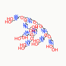 OCC(O)Cn1cc(COCC(Cn2cc(COCC(COCc3cn(CC(COCc4cn(CC(O)CO)nn4)OCc4cn(CC(O)CO)nn4)nn3)OCc3cn(CC(COCc4cn(CC(O)CO)nn4)OCc4cn(CC(O)CO)nn4)nn3)nn2)OCc2cn(CC(O)CO)nn2)nn1